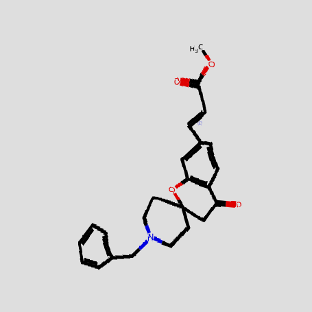 COC(=O)/C=C/c1ccc2c(c1)OC1(CCN(Cc3ccccc3)CC1)CC2=O